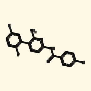 Nc1nc(NC(=O)c2ccc(Cl)cc2)ccc1-c1cc(F)ccc1F